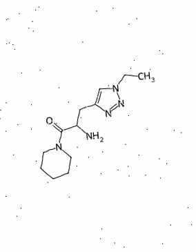 CCn1cc(CC(N)C(=O)N2CCCCC2)nn1